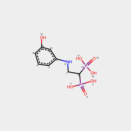 O=P(O)(O)C(CNc1cccc(O)c1)P(=O)(O)O